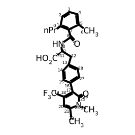 CCCc1cccc(C)c1C(=O)N[C@@H](Cc1ccc(-c2c(C(F)(F)F)cc(C)n(C)c2=O)cc1)C(=O)O